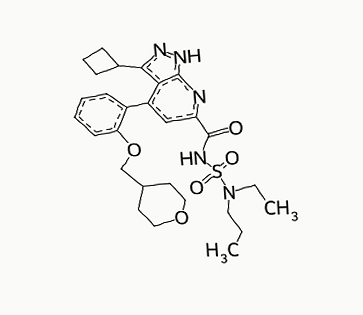 CCCN(CC)S(=O)(=O)NC(=O)c1cc(-c2ccccc2OCC2CCOCC2)c2c(C3CCC3)n[nH]c2n1